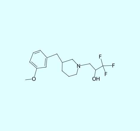 COc1cccc(CC2CCCN(CC(O)C(F)(F)F)C2)c1